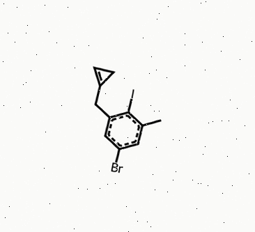 Cc1cc(Br)cc(CC2=CC2)c1I